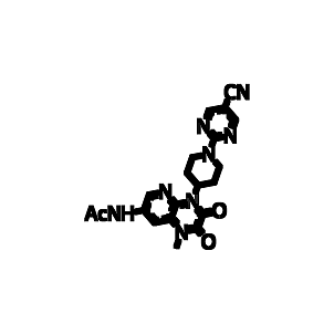 CC(=O)Nc1cnc2c(c1)n(C)c(=O)c(=O)n2C1CCN(c2ncc(C#N)cn2)CC1